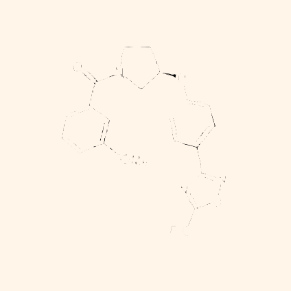 COc1cccc(C(=O)N2CC[C@@H](Oc3ccc(-c4noc(C(F)(F)F)n4)cc3)C2)c1